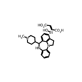 CCO.CN1CCC(C2Nc3ccccc3N3CCc4cccc2c43)CC1.O=C(O)C=CC(=O)O